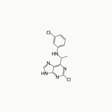 CC(Nc1cccc(Cl)c1)c1nc(Cl)nc2[nH]cnc12